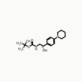 CC(C)(C)OC(=O)NC[C@@H](O)c1ccc(N2CCCCC2)cc1